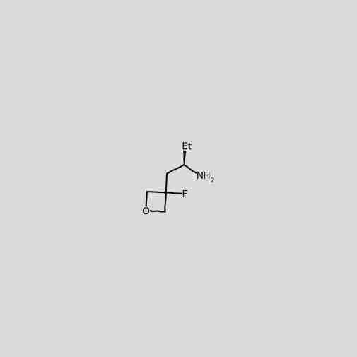 CC[C@@H](N)CC1(F)COC1